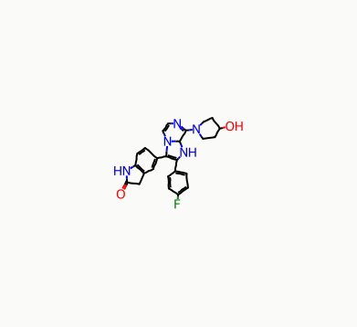 O=C1Cc2cc(C3=C(c4ccc(F)cc4)NC4C(N5CCC(O)CC5)=NC=CN34)ccc2N1